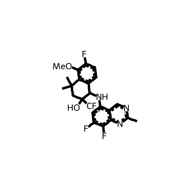 COc1c(F)ccc2c1C(C)(C)CC(O)(C(F)(F)F)C2Nc1cc(F)c(F)c2nc(C)ncc12